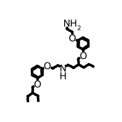 CCCC(CCNCCOc1cccc(OCC(CC)CC)c1)COc1cccc(OCCN)c1